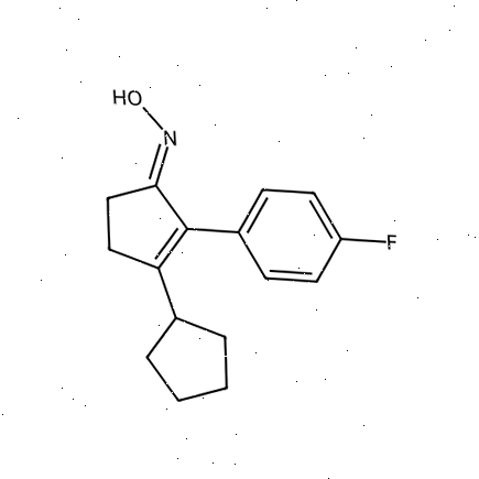 ON=C1CCC(C2CCCC2)=C1c1ccc(F)cc1